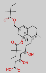 CCC(C)(C)C(=O)OC[C@H]1C=C2CC[C@H](C)[C@H](CC[C@@H](O)C[C@@H](O)CC(=O)O)[C@H]2[C@@H](OC(=O)C(C)(C)CC)C1